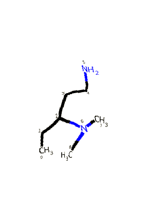 CCC(CCN)N(C)C